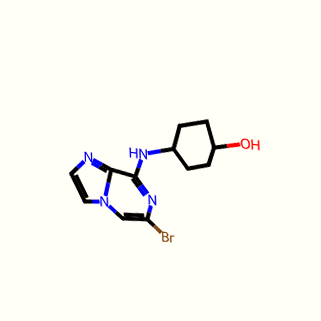 OC1CCC(Nc2nc(Br)cn3ccnc23)CC1